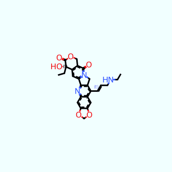 CCNC/C=C/c1c2c(nc3cc4c(cc13)OCO4)-c1cc3c(c(=O)n1C2)COC(=O)[C@]3(O)CC